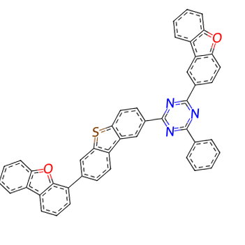 c1ccc(-c2nc(-c3ccc4oc5ccccc5c4c3)nc(-c3ccc4sc5cc(-c6cccc7c6oc6ccccc67)ccc5c4c3)n2)cc1